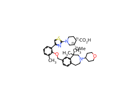 CO[C@@H]1CN(c2nc(-c3cccc(C)c3OCc3ccc4c(c3)C(C)(C)CN(C3CCOCC3)CC4)cs2)CC[C@@H]1C(=O)O